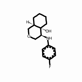 O[C@@]12CCCC[C@@H]1COC[C@@H]2Nc1ccc(F)cc1